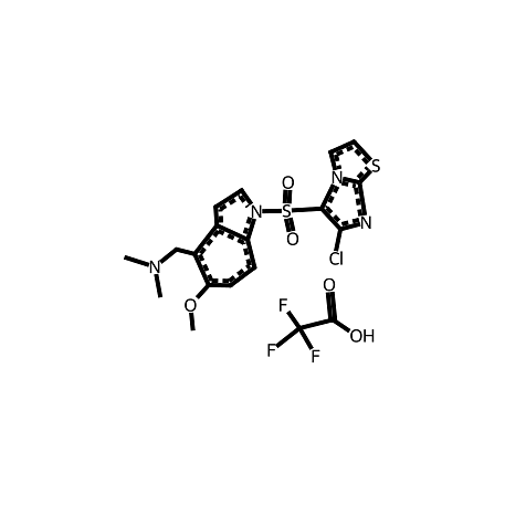 COc1ccc2c(ccn2S(=O)(=O)c2c(Cl)nc3sccn23)c1CN(C)C.O=C(O)C(F)(F)F